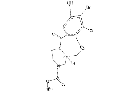 CC(C)(C)OC(=O)N1CCN2C(=O)c3cc(O)c(Br)c(Cl)c3OC[C@H]2C1